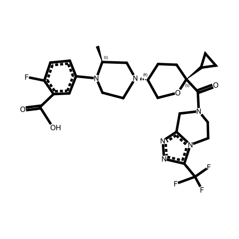 C[C@H]1CN([C@@H]2CC[C@@](C(=O)N3CCn4c(nnc4C(F)(F)F)C3)(C3CC3)OC2)CCN1c1ccc(F)c(C(=O)O)c1